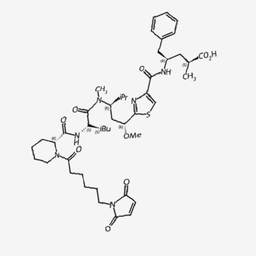 CC[C@H](C)[C@H](NC(=O)[C@H]1CCCCN1C(=O)CCCCCN1C(=O)C=CC1=O)C(=O)N(C)[C@H](C[C@@H](OC)c1nc(C(=O)N[C@@H](Cc2ccccc2)C[C@H](C)C(=O)O)cs1)C(C)C